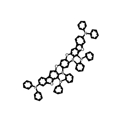 c1ccc(N(c2ccccc2)c2ccc3c(c2)oc2c4c5c(cc23)Oc2cc3c(cc2B5c2ccccc2N4c2ccccc2)B2c4ccccc4N(c4ccccc4)c4c2c(cc2c4oc4cc(N(c5ccccc5)c5ccccc5)ccc42)O3)cc1